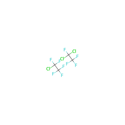 FC(F)(F)C(F)(Cl)Cl.FC(F)(F)C(F)(F)Cl